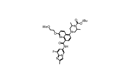 COCCOc1ccc2c(N3CC(C)N(C(=O)OC(C)(C)C)C(C)C3)ccc(C(=O)Nc3cc(F)c4nc(C)cn4c3)c2n1